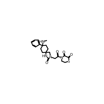 CNC1(c2ccccc2)CCC2(CC1)CN(CC(=O)N1CCSC(=O)C1=O)C(=O)N2